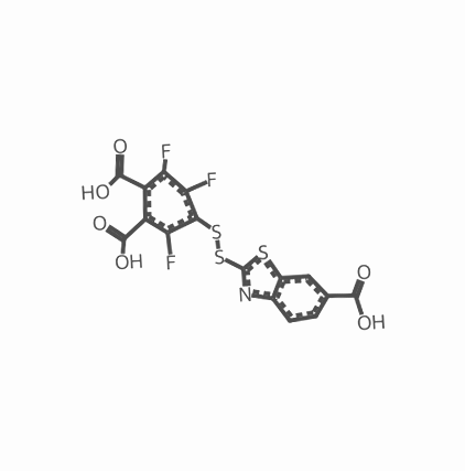 O=C(O)c1ccc2nc(SSc3c(F)c(F)c(C(=O)O)c(C(=O)O)c3F)sc2c1